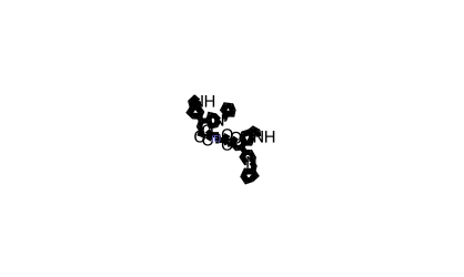 O=C(/C=C/C(=O)OC(=O)CC(c1ccc2cc[nH]c2c1)C1CCN(Cc2ccccc2)CC1)OC(=O)CC(c1ccc2cc[nH]c2c1)C1CCN(Cc2ccccc2)CC1